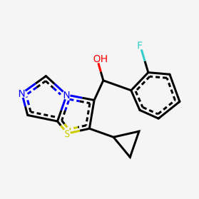 OC(c1ccccc1F)c1c(C2CC2)sc2cncn12